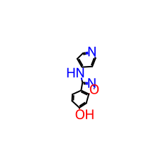 Oc1ccc2c(Nc3ccncc3)noc2c1